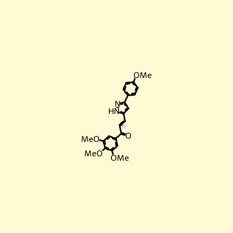 COc1ccc(-c2cc(/C=C/C(=O)c3cc(OC)c(OC)c(OC)c3)[nH]n2)cc1